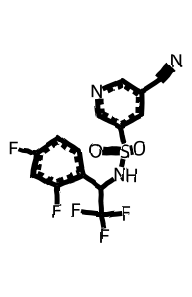 N#Cc1cncc(S(=O)(=O)NC(c2ccc(F)cc2F)C(F)(F)F)c1